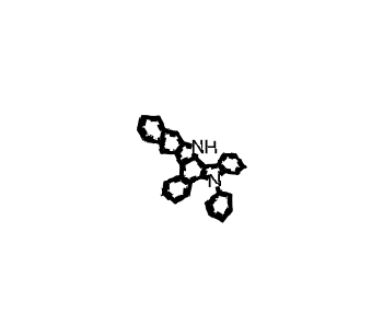 c1ccc(-n2c3ccccc3c3c4[nH]c5cc6ccccc6cc5c4c4ccccc4c32)cc1